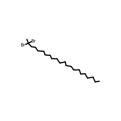 CCCCCCCCCCCCCCCCCCCCC(C)(Br)Br